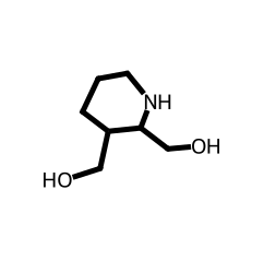 OCC1CCCNC1CO